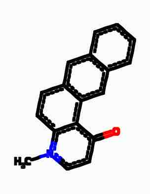 Cn1ccc(=O)c2c3cc4ccccc4cc3ccc21